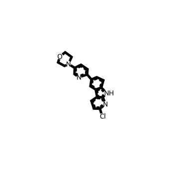 Clc1ccc2c(n1)[nH]c1ccc(-c3ccc(N4CCOCC4)cn3)cc12